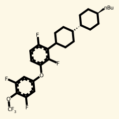 CCCC[C@H]1CC[C@H](C2CCC(c3c(F)c[c]c(Oc4cc(F)c(OC(F)(F)F)c(F)c4)c3F)CC2)CC1